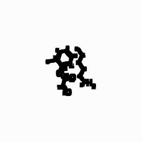 CCCCCP.Cc1ccccc1OC(=O)C=O